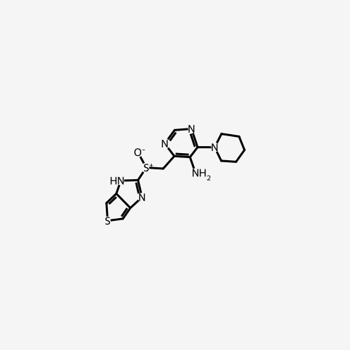 Nc1c(C[S+]([O-])c2nc3cscc3[nH]2)ncnc1N1CCCCC1